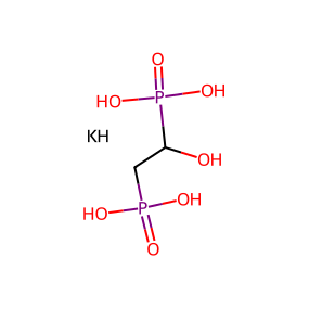 O=P(O)(O)CC(O)P(=O)(O)O.[KH]